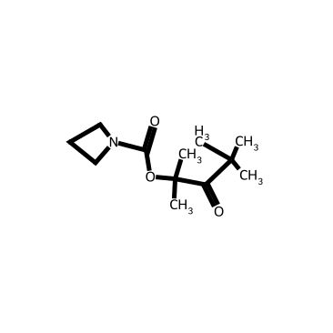 CC(C)(C)C(=O)C(C)(C)OC(=O)N1CCC1